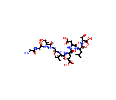 CC(C)CC(NC(=O)C(CC(=O)O)NC(=O)C(CCC(=O)O)NC(=O)C(NC(=O)CNC(=O)C(CO)NC(=O)CNC(=O)CN)C(C)C)C(=O)NC(CO)C(=O)O